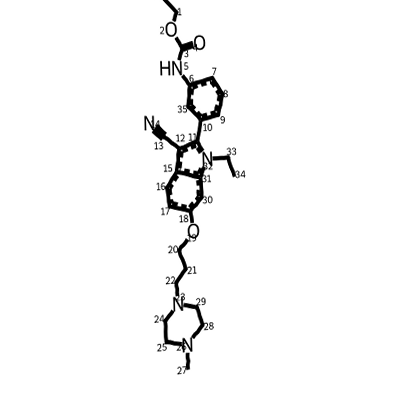 CCOC(=O)Nc1cccc(-c2c(C#N)c3ccc(OCCCN4CCN(C)CC4)cc3n2CC)c1